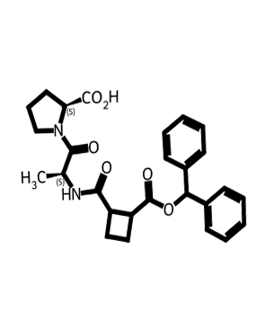 C[C@H](NC(=O)C1CCC1C(=O)OC(c1ccccc1)c1ccccc1)C(=O)N1CCC[C@H]1C(=O)O